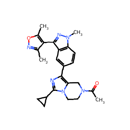 CC(=O)N1CCn2c(C3CC3)nc(-c3ccc4c(c3)c(-c3c(C)noc3C)nn4C)c2C1